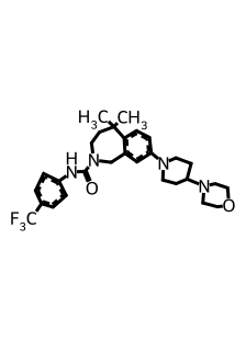 CC1(C)CCN(C(=O)Nc2ccc(C(F)(F)F)cc2)Cc2cc(N3CCC(N4CCOCC4)CC3)ccc21